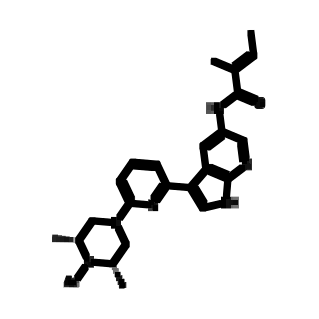 C/C=C(\C)C(=O)Nc1cnc2[nH]cc(-c3cccc(N4C[C@@H](C)N(C(C)=O)[C@@H](C)C4)n3)c2c1